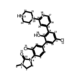 CN1CCN(c2ccc(-c3cc(Cl)cc(-c4ccnc(N5CCNCC5)c4)c3O)cc2Cl)C1=O